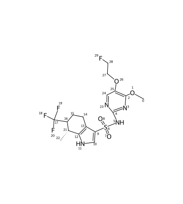 COc1nc(NS(=O)(=O)c2c[nH]c3c2CCC(C(F)(F)F)[C@H]3C)ncc1OCCF